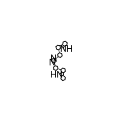 c1cc(-c2cc(-c3cccc(-c4cccc5c4[nH]c4ccccc45)c3)ncn2)cc(-c2cccc3c2[nH]c2ccccc23)c1